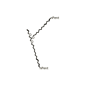 C=CCOCC(COCCCCCCCCC=CCC=CCCCCC)OCCCCCCCCC=CCC=CCCCCC